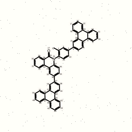 Cc1cc(-c2ccc3c4ccccc4c4ccccc4c3c2)ccc1-n1c(=O)c2ccccc2c2cc(-c3ccc4c5ccccc5c5ccccc5c4c3)ccc21